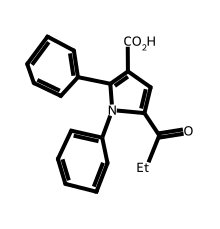 CCC(=O)c1cc(C(=O)O)c(-c2ccccc2)n1-c1ccccc1